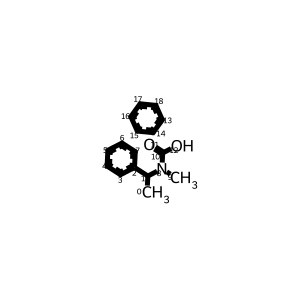 CC(c1ccccc1)N(C)C(=O)O.c1ccccc1